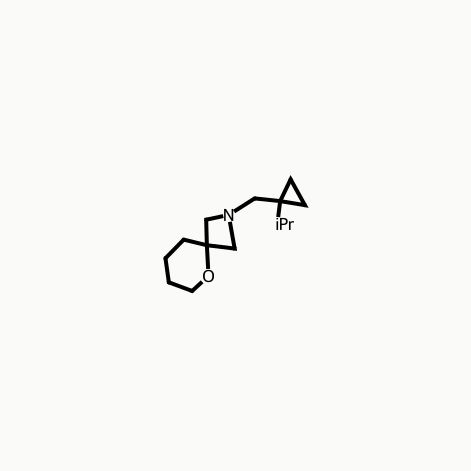 CC(C)C1(CN2CC3(CCCCO3)C2)CC1